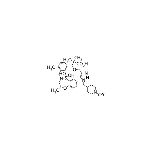 CCCN1CCC(Cn2cc(COC(c3ccc(C)c(CN4CC(C)Oc5ccccc5S4(O)O)c3)C(C)(C)C(=O)O)nn2)CC1